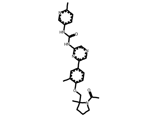 CC(=O)N1CCCC1(C)COc1ccc(-c2cncc(NC(=O)Nc3ccc(C)nc3)n2)cc1C